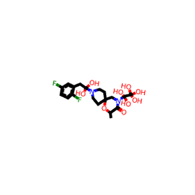 CC1OC2(CCN(C(O)(O)Cc3cc(F)ccc3F)CC2)CN(C(O)(O)C(O)(O)O)C1=O